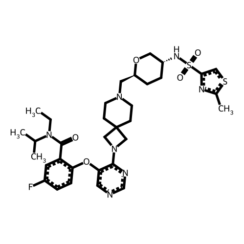 CCN(C(=O)c1cc(F)ccc1Oc1cncnc1N1CC2(CCN(C[C@@H]3CC[C@@H](NS(=O)(=O)c4csc(C)n4)CO3)CC2)C1)C(C)C